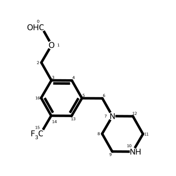 O=COCc1cc(CN2CCNCC2)cc(C(F)(F)F)c1